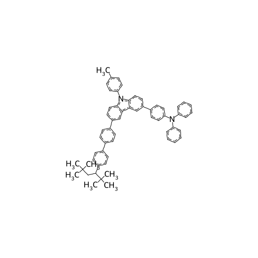 Cc1ccc(-n2c3ccc(-c4ccc(-c5ccc(C(CC(C)(C)C)C(C)(C)C)cc5)cc4)cc3c3cc(-c4ccc(N(c5ccccc5)c5ccccc5)cc4)ccc32)cc1